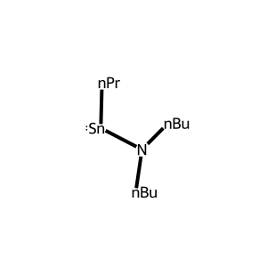 CCCC[N](CCCC)[Sn][CH2]CC